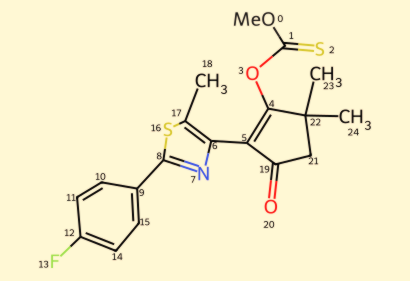 COC(=S)OC1=C(c2nc(-c3ccc(F)cc3)sc2C)C(=O)CC1(C)C